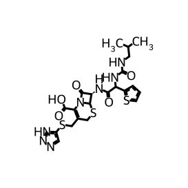 CC(C)CNC(=O)NC(C(=O)N[C@H]1C(=O)N2C(C(=O)O)=C(CSc3cnn[nH]3)CSC12)c1cccs1